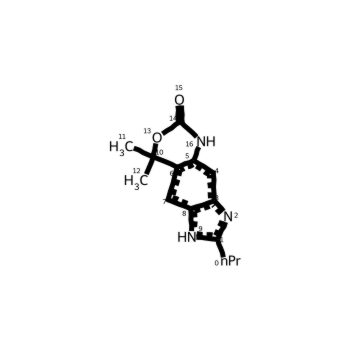 CCCc1nc2cc3c(cc2[nH]1)C(C)(C)OC(=O)N3